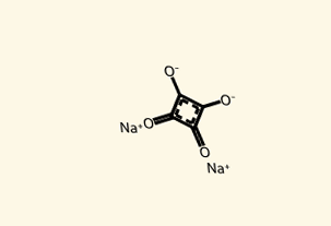 O=c1c([O-])c([O-])c1=O.[Na+].[Na+]